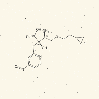 N[C@@H](CSCCC1CC1)[C@](O)(Cc1cc(N=O)ccn1)C(=O)O